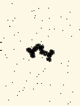 c1ccc(-c2cc(-c3ccc(-c4cccc(-c5cccc(-c6cccc(-c7ccc(-c8cc(-c9ccccc9)nc(-c9ccccc9)n8)cc7)c6)n5)c4)cc3)cc(-c3ccccc3)n2)cc1